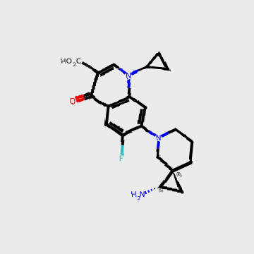 N[C@H]1C[C@@]12CCCN(c1cc3c(cc1F)c(=O)c(C(=O)O)cn3C1CC1)C2